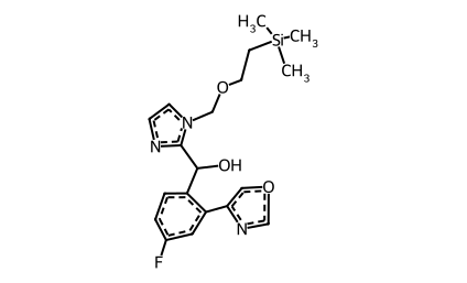 C[Si](C)(C)CCOCn1ccnc1C(O)c1ccc(F)cc1-c1cocn1